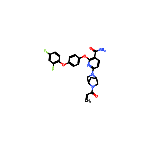 C=CC(=O)N1CC2CC1CN2c1ccc(C(N)=O)c(Oc2ccc(Oc3ccc(F)cc3F)cc2)n1